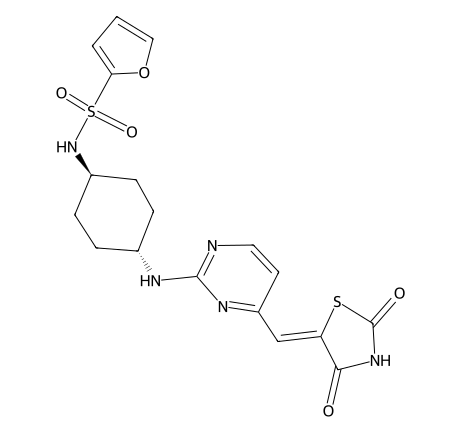 O=C1NC(=O)/C(=C/c2ccnc(N[C@H]3CC[C@H](NS(=O)(=O)c4ccco4)CC3)n2)S1